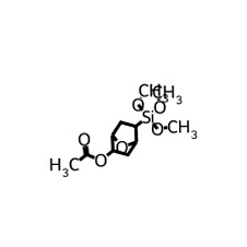 CO[Si](OC)(OC)C1CC2OC1CC2OC(C)=O